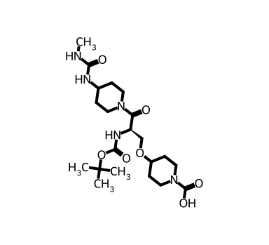 CNC(=O)NC1CCN(C(=O)[C@@H](COC2CCN(C(=O)O)CC2)NC(=O)OC(C)(C)C)CC1